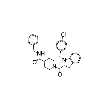 O=C(NCc1ccccc1)C1CCN(C(=O)C2Cc3ccccc3N2Cc2ccc(Cl)cc2)CC1